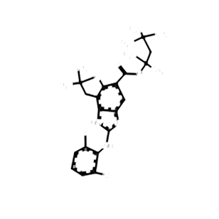 CC(C)(C)CC(C)(C)NC(=O)c1cc2nc(Nc3c(F)cccc3Cl)[nH]c2c2c1OC(C)(C)C2